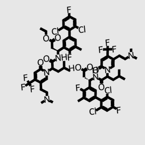 CCOC(=O)C[C@H](NC(=O)C(CC(C)C)n1cc(CCN(C)C)c(C(F)(F)F)cc1=O)c1cc(-c2c(Cl)cc(F)cc2Cl)cc(C)c1F.Cc1cc(-c2c(Cl)cc(F)cc2Cl)cc([C@H](CC(=O)O)NC(=O)C(CC(C)C)n2cc(CCN(C)C)c(C(F)(F)F)cc2=O)c1F